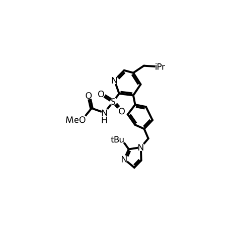 COC(=O)NS(=O)(=O)c1ncc(CC(C)C)cc1-c1ccc(Cn2ccnc2C(C)(C)C)cc1